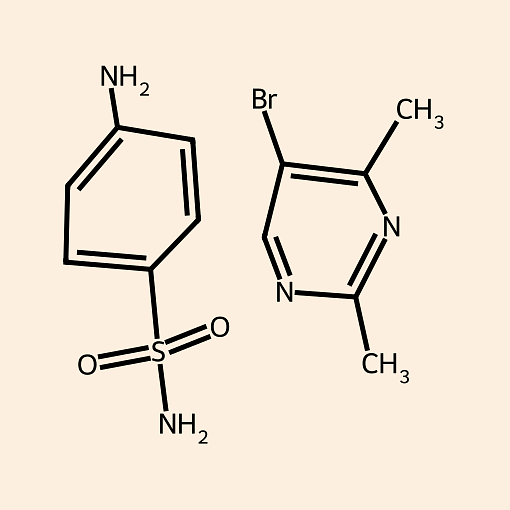 Cc1ncc(Br)c(C)n1.Nc1ccc(S(N)(=O)=O)cc1